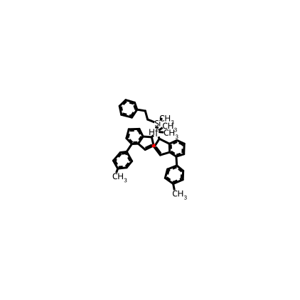 Cc1ccc(-c2cccc3c2C=C[CH]3[Hf]([CH3])([CH3])([CH]2C=Cc3c(-c4ccc(C)cc4)cccc32)=[Si](C)CCc2ccccc2)cc1